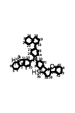 C[SiH]1C2=C(C=CCC2)c2ccc(N(c3ccc(-c4cccc5c4C=CCC5)cc3)c3ccc4c(c3)[SiH](C)C3=CCC5c6ccccc6OC5C34)cc21